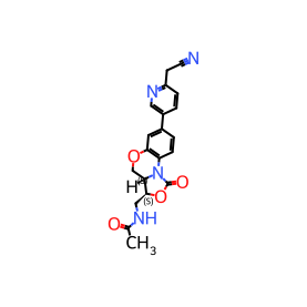 CC(=O)NC[C@@H]1OC(=O)N2c3ccc(-c4ccc(CC#N)nc4)cc3OC[C@@H]12